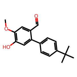 COc1cc(C=O)c(-c2ccc(C(C)(C)C)cc2)cc1O